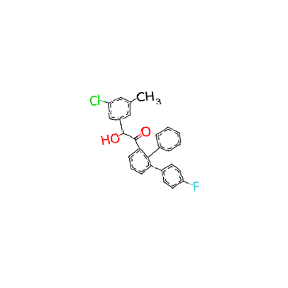 Cc1cc(Cl)cc(C(O)C(=O)c2cccc(-c3ccc(F)cc3)c2-c2ccccc2)c1